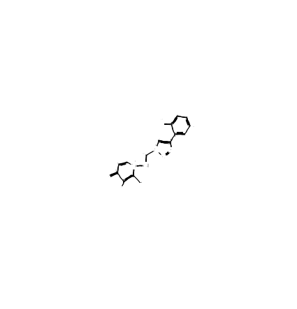 Cc1c(O)c(=O)ccn1NCn1cc(-c2ccccc2C(F)(F)F)nn1